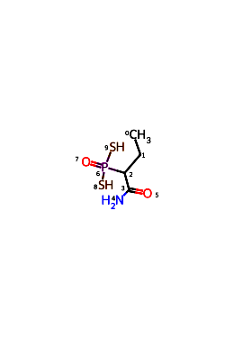 CCC(C(N)=O)P(=O)(S)S